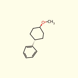 CO[C@H]1CC[C@H](c2ccccc2)CC1